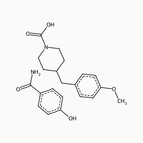 COc1ccc(CC2CCN(C(=O)O)CC2)cc1.NC(=O)c1ccc(O)cc1